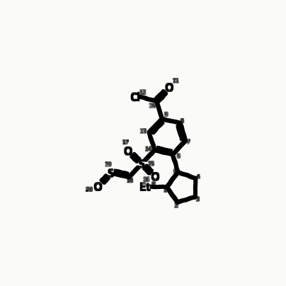 CCC1CCCC1c1ccc(C(=O)Cl)cc1S(=O)(=O)C=S=O